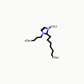 CCCCCCCCCCCCCCCCC1N(CCCCCCCC)C=CN1CCCCCCCCCCCCC